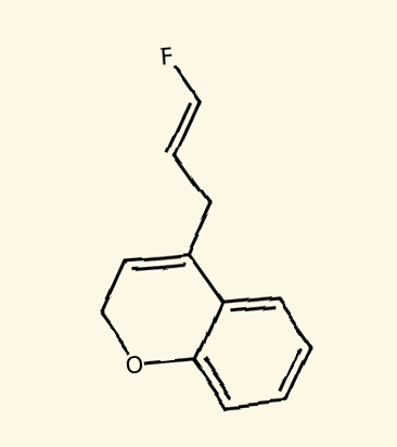 FC=CCC1=CCOc2ccccc21